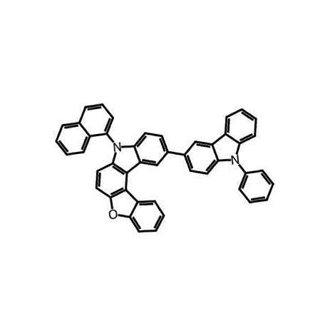 c1ccc(-n2c3ccccc3c3cc(-c4ccc5c(c4)c4c6c(ccc4n5-c4cccc5ccccc45)oc4ccccc46)ccc32)cc1